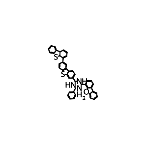 NC(NC(NCc1ccccc1)c1ccc2c(c1)sc1ccc(C3=CC=CC4c5ccccc5SC34)cc12)c1cccc2c1oc1ccccc12